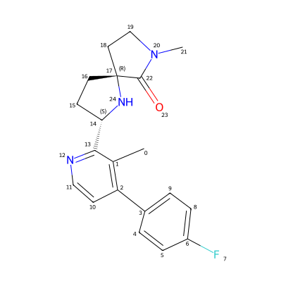 Cc1c(-c2ccc(F)cc2)ccnc1[C@@H]1CC[C@]2(CCN(C)C2=O)N1